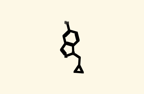 [2H]c1ccc2c(cnn2CC2CC2)c1